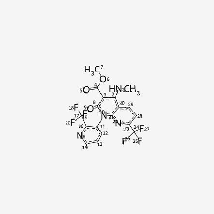 CNc1c(C(=O)OC)c(=O)n(-c2cccnc2C(F)(F)F)c2nc(C(F)(F)F)ccc12